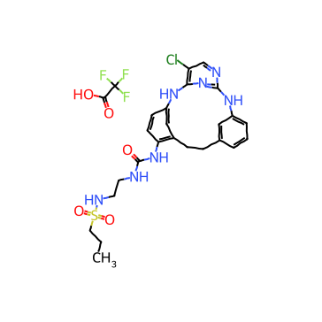 CCCS(=O)(=O)NCCNC(=O)Nc1ccc2cc1CCc1cccc(c1)Nc1ncc(Cl)c(n1)N2.O=C(O)C(F)(F)F